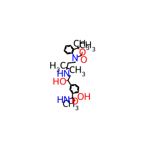 CNC(=O)c1cc(C(O)CNC(C)(C)CCN2C(=O)OC(C)(C)c3ccccc32)ccc1O